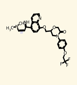 CN(C)/C=C\C(=N)c1ccc(OCC2CN(c3ccc(OCC(F)(F)F)cc3)C(=O)CO2)c2ncccc12